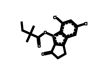 CCC(C)(C)C(=O)On1c2c(c3cc(Cl)cc(Cl)c31)CCC2=O